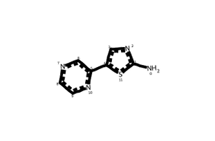 Nc1ncc(-c2cnccn2)s1